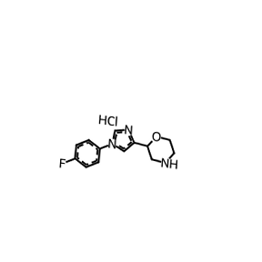 Cl.Fc1ccc(-n2cnc(C3CNCCO3)c2)cc1